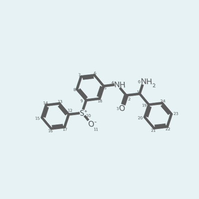 NC(C(=O)Nc1cccc([S+]([O-])c2ccccc2)c1)c1ccccc1